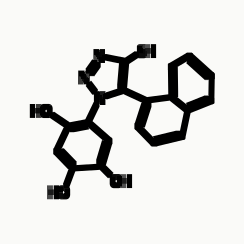 Oc1cc(O)c(-n2nnc(S)c2-c2cccc3ccccc23)cc1O